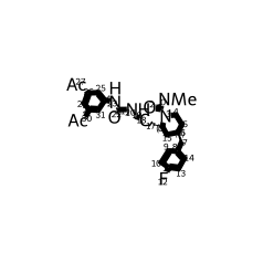 CNC(=O)N1CC[C@@H](Cc2ccc(F)cc2)C[C@@H]1CCCNC(=O)Nc1cc(C(C)=O)cc(C(C)=O)c1